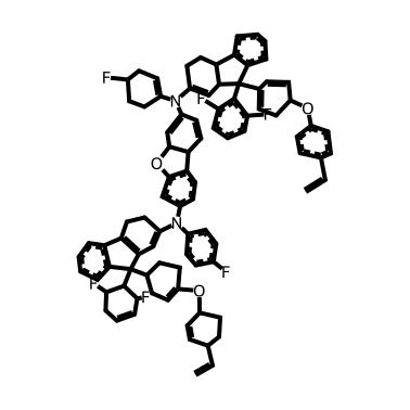 C=Cc1ccc(OC2C=CC(C3(c4c(F)cccc4F)c4ccccc4C4CCC(N(C5=CC6Oc7cc(N(C8=CC9=C(CC8)c8ccccc8C9(C8CC=C(OC9C=CC(C=C)CC9)CC8)C8C(F)C=CCC8F)c8ccc(F)cc8)ccc7C6C=C5)C5=CCC(F)CC5)=CC43)=CC2)cc1